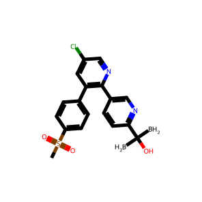 BC(B)(O)c1ccc(-c2ncc(Cl)cc2-c2ccc(S(C)(=O)=O)cc2)cn1